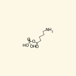 NCCCCC(=O)OP(=O)(O)O